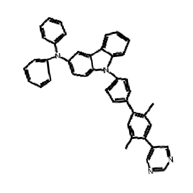 Cc1cc(-c2cncnc2)c(C)cc1-c1ccc(-n2c3ccccc3c3cc(N(c4ccccc4)c4ccccc4)ccc32)cc1